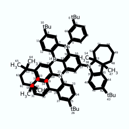 CC(C)(C)c1cccc(N2c3cc(C(C)(C)C)ccc3B3c4cc5c(cc4N(c4ccc(C(C)(C)C)cc4-c4ccccc4)c4cc(N6c7ccc(C(C)(C)C)cc7C7(C)CCCCCC67C)cc2c43)C(C)(C)CCC5(C)C)c1